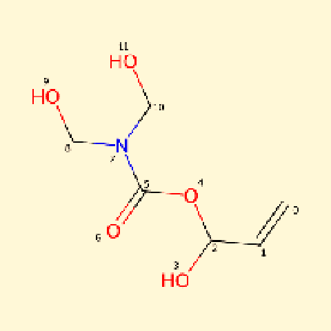 C=CC(O)OC(=O)N(CO)CO